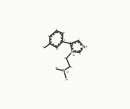 Cc1cccc(-c2cncn2CCN(C)C)c1